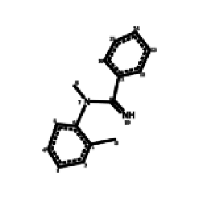 Cc1ccccc1N(C)C(=N)c1ccccc1